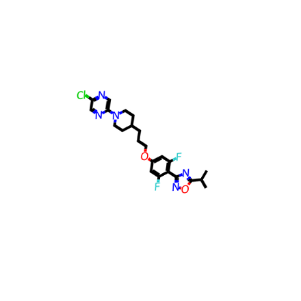 CC(C)c1nc(-c2c(F)cc(OCCCC3CCN(c4cnc(Cl)cn4)CC3)cc2F)no1